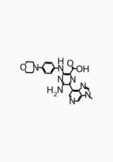 Cn1cnc2c(-c3nc(C(=O)O)c(Nc4ccc(N5CCOCC5)cc4)nc3N)cncc21